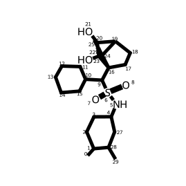 CC1CCC(NS(=O)(=O)C(C2CCCCC2)C23CCC(C(O)C2O)C3(C)C)CC1C